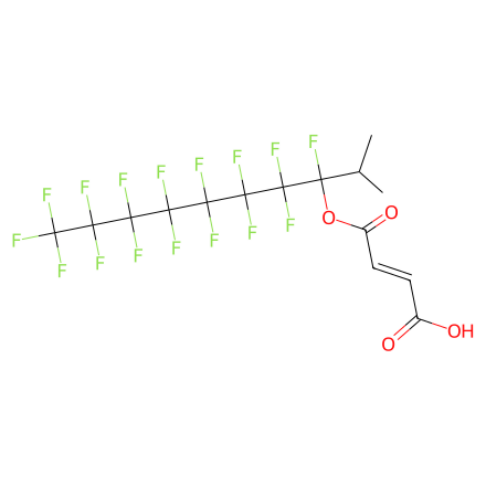 CC(C)C(F)(OC(=O)C=CC(=O)O)C(F)(F)C(F)(F)C(F)(F)C(F)(F)C(F)(F)C(F)(F)C(F)(F)F